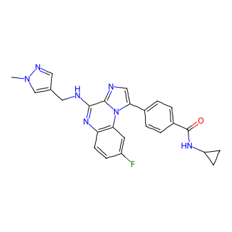 Cn1cc(CNc2nc3ccc(F)cc3n3c(-c4ccc(C(=O)NC5CC5)cc4)cnc23)cn1